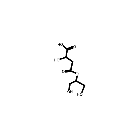 O=C(CC(O)C(=O)O)OC(CO)CO